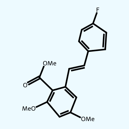 COC(=O)c1c(C=Cc2ccc(F)cc2)cc(OC)cc1OC